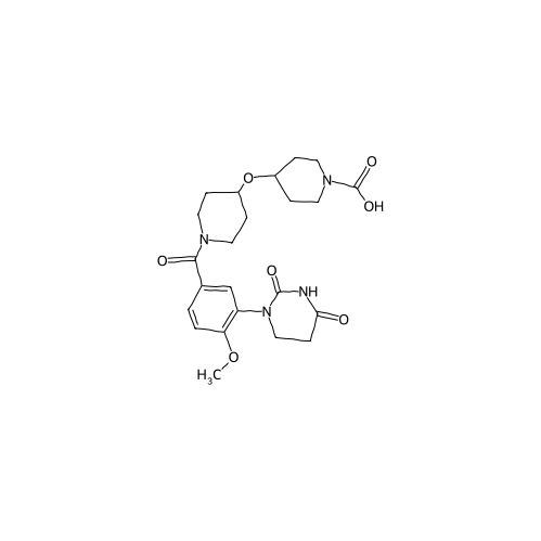 COc1ccc(C(=O)N2CCC(OC3CCN(C(=O)O)CC3)CC2)cc1N1CCC(=O)NC1=O